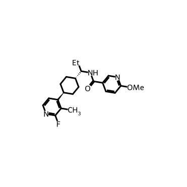 CCC(NC(=O)c1ccc(OC)nc1)[C@H]1CC[C@H](c2ccnc(F)c2C)CC1